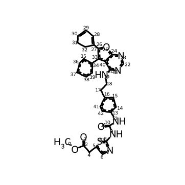 COC(=O)Cc1cnc(NC(=O)Nc2ccc(CCNc3ncnc4oc(C5=CC=CCC5)c(-c5ccccc5)c34)cc2)s1